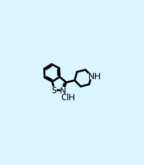 Cl.c1ccc2c(C3CCNCC3)nsc2c1